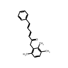 Cc1ccc(C)c(CC(=O)C=CC=Cc2ccccc2)c1C